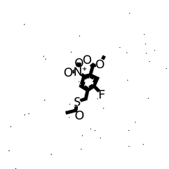 COC(=O)c1cc(F)c(CSC(C)=O)cc1[N+](=O)[O-]